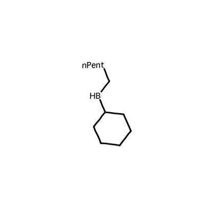 CCCCCCBC1CCCCC1